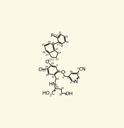 N#Cc1cncc(COc2cc(O[C@H]3CCc4c(-c5ccccc5F)cccc43)c(Cl)cc2CN[C@@H](CCO)C(=O)O)c1